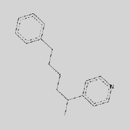 CC(CCCCc1ccccc1)c1ccncc1